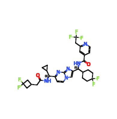 O=C(CC1CC(F)(F)C1)N[C@H](c1ccn2cc([C@@H](NC(=O)c3ccnc(CC(F)(F)F)c3)C3CCC(F)(F)CC3)nc2n1)C1CC1